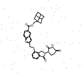 O=C1CCC(N2Cc3c(SCc4cc5cc(C(=O)OCC67CC8CC9CC(C6)C987)ccc5s4)cccc3C2=O)C(=O)N1